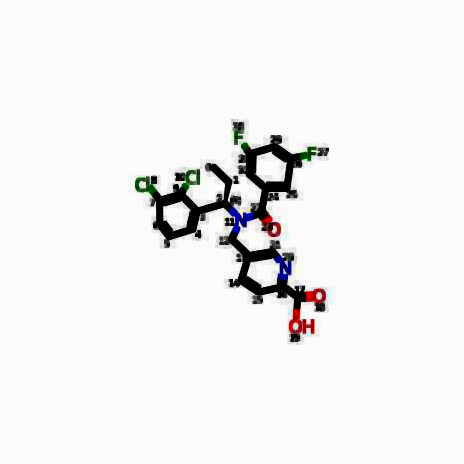 CC[C@H](c1cccc(Cl)c1Cl)N(Cc1ccc(C(=O)O)nc1)C(=O)c1cc(F)cc(F)c1